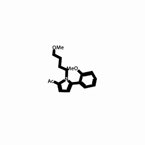 COCCCCn1c(C(C)=O)ccc1-c1ccccc1OC